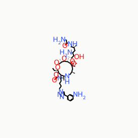 CC[C@H]1OC(=O)[C@H](C)C(=O)[C@H](C)[C@@H](O[C@H](C)C(O)C(N)C[C@H](C)CNC(=O)CN)[C@](C)(OC)C[C@@H](C)CN[C@H](C)[C@H]2N(CCCCn3cc(-c4cccc(N)c4)nn3)C(=O)O[C@]12C